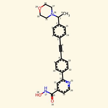 CC(c1ccc(C#Cc2ccc(-c3cc(C(=O)NO)ccn3)cc2)cc1)N1CCOCC1